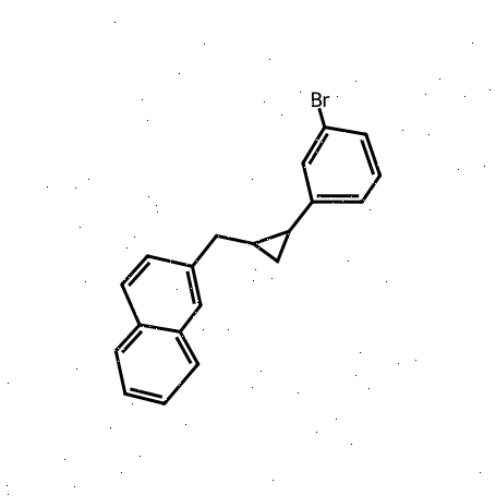 Brc1cccc(C2CC2Cc2ccc3ccccc3c2)c1